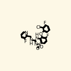 O=S1(=O)N=C(NCc2ncccc2F)Nc2c1ccc(F)c2Oc1cccc(F)c1Cl